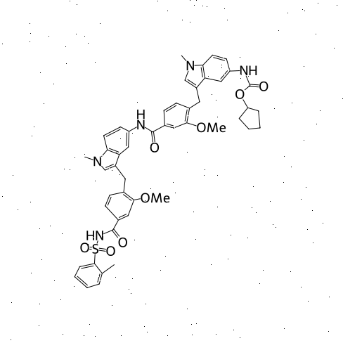 COc1cc(C(=O)Nc2ccc3c(c2)c(Cc2ccc(C(=O)NS(=O)(=O)c4ccccc4C)cc2OC)cn3C)ccc1Cc1cn(C)c2ccc(NC(=O)OC3CCCC3)cc12